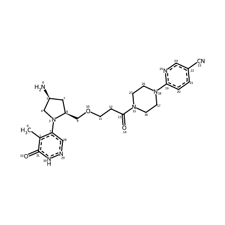 Cc1c(N2C[C@@H](N)C[C@H]2COCCC(=O)N2CCN(c3ccc(C#N)cn3)CC2)cn[nH]c1=O